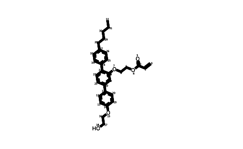 C=CC(=O)OCCOc1cc(-c2ccc(OCCO)cc2)ccc1-c1ccc(CCCCC)cc1